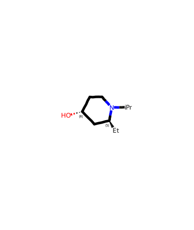 CC[C@H]1C[C@H](O)CCN1C(C)C